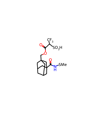 CSNC(=O)C12CC3CC(CC(COC(=O)C(C(F)(F)F)S(=O)(=O)O)(C3)C1)C2